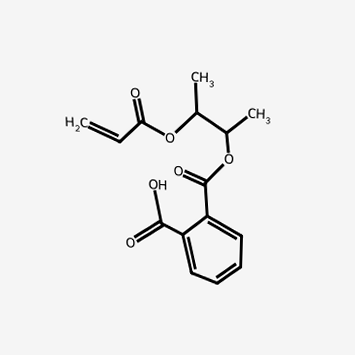 C=CC(=O)OC(C)C(C)OC(=O)c1ccccc1C(=O)O